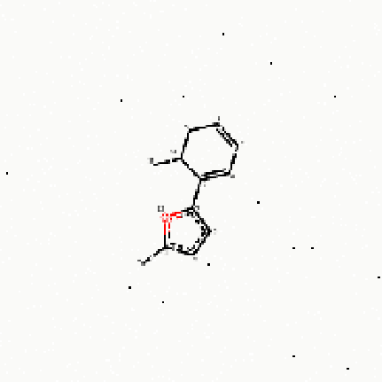 Cc1ccc(C2=CC=CCC2C)o1